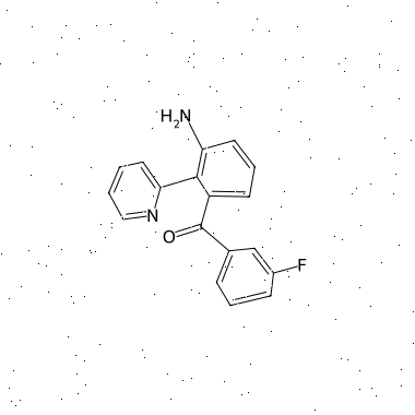 Nc1cccc(C(=O)c2cccc(F)c2)c1-c1ccccn1